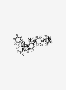 C[C@H]1CC[C@H](c2ccccc2)S(=O)(=O)N1Cc1ccc(C2(C#N)CCC(n3cnnc3)CC2)cc1